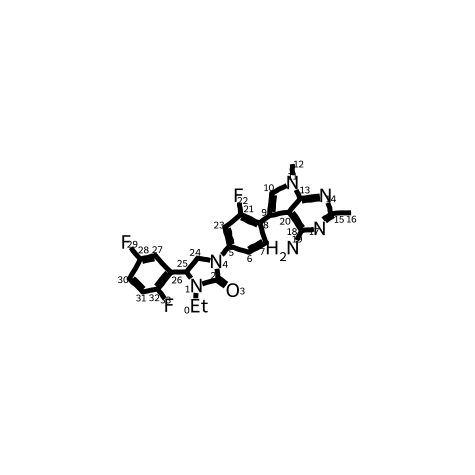 CCN1C(=O)N(c2ccc(-c3cn(C)c4nc(C)nc(N)c34)c(F)c2)CC1c1cc(F)ccc1F